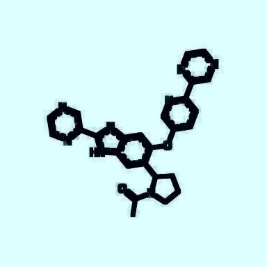 CC(=O)N1CCCC1c1cc2[nH]c(-c3cnccn3)nc2cc1Oc1ccc(-c2cnccn2)nc1